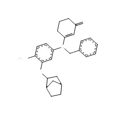 COc1ccc(N(Cc2ccccc2)C2=CC(=O)CCC2)cc1OC1CC2CCC1C2